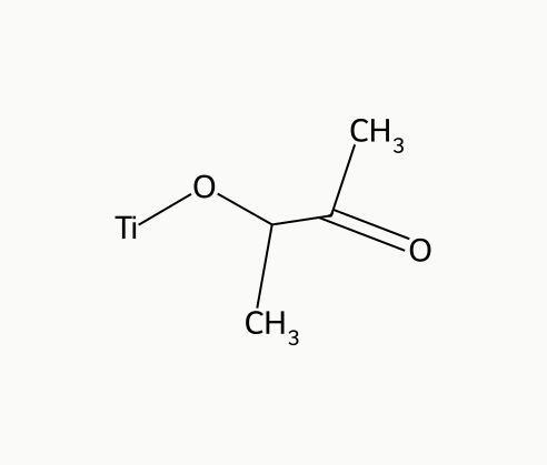 CC(=O)C(C)[O][Ti]